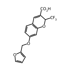 O=C(O)C1=Cc2ccc(OCc3ccco3)cc2OC1C(F)(F)F